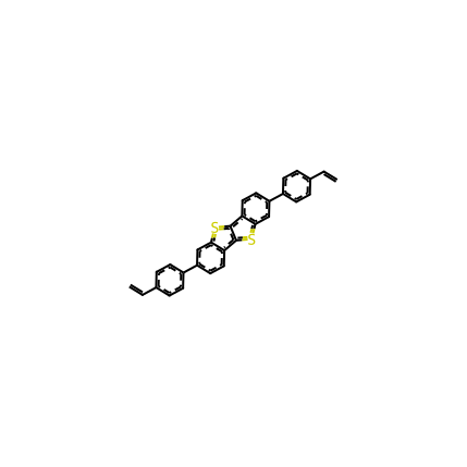 C=Cc1ccc(-c2ccc3c(c2)sc2c4ccc(-c5ccc(C=C)cc5)cc4sc32)cc1